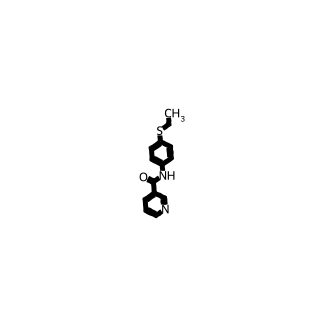 CCSc1ccc(NC(=O)c2cccnc2)cc1